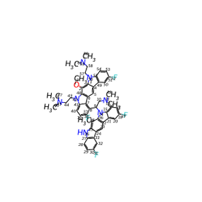 COc1c2c(cc3c4c(C(CN(C)C)n5c6ccc(F)cc6c6cc7c([nH]c8ccc(F)cc87)c(C)c65)c(F)ccc4n(CCN(C)C)c13)c1cc(F)ccc1n2CCN(C)C